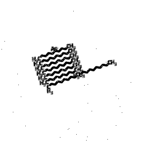 CCCCCCCCCC.CCCCCCCCCC.CCCCCCCCCC.CCCCCCCCCC.CCCCCCCCCC.CCCCCCCCCC.CCCCCCCCCC.CCCCCCCCCC.[Ag]